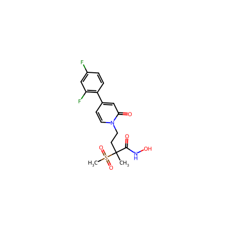 CC(CCn1ccc(-c2ccc(F)cc2F)cc1=O)(C(=O)NO)S(C)(=O)=O